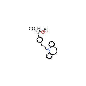 CCOC(Cc1ccc(CCCN2c3ccccc3CCCc3ccccc32)cc1)C(=O)O